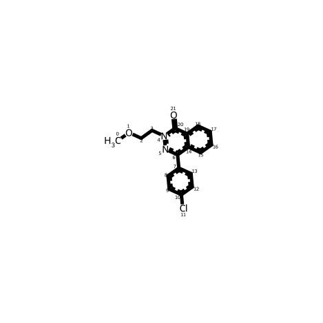 COCCn1nc(-c2ccc(Cl)cc2)c2ccccc2c1=O